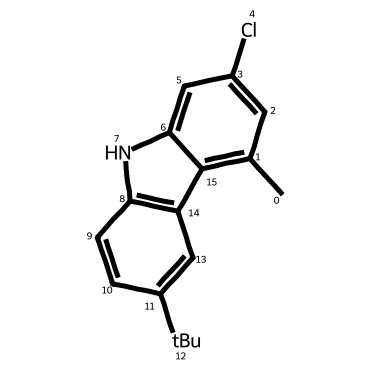 Cc1cc(Cl)cc2[nH]c3ccc(C(C)(C)C)cc3c12